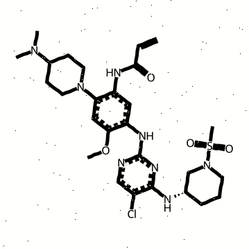 C=CC(=O)Nc1cc(Nc2ncc(Cl)c(N[C@H]3CCCN(S(C)(=O)=O)C3)n2)c(OC)cc1N1CCC(N(C)C)CC1